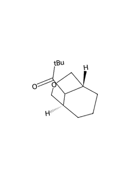 CC(C)(C)C(=O)C1[C@H]2CCC[C@H]1COC2